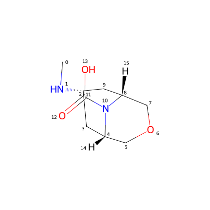 CN[C@H]1C[C@H]2COC[C@@H](C1)N2C(=O)O